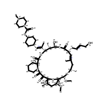 CO[C@H]1C[C@@H](C)C/C(C)=C/[C@@H](C/C=C/CO)C(=O)C[C@H](O)[C@@H](C)[C@@H](/C(C)=C/[C@H]2CC[C@H](OC(=O)N3CCN(C)CC3)CC2)OC(=O)[C@@H]2CCCCN2C(=O)C(=O)[C@]2(O)O[C@H]1[C@@H](OC)C[C@H]2C